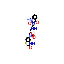 O=C1CSc2ccc(N3C[C@@H](CNCCn4c(=O)[nH]c5ccccc5c4=O)OC3=O)cc2N1